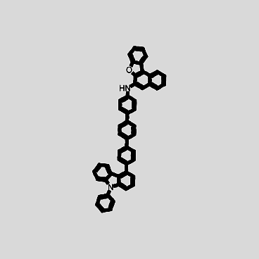 c1ccc(-n2c3ccccc3c3c(-c4ccc(-c5ccc(-c6ccc(Nc7cc8ccccc8c8c7oc7ccccc78)cc6)cc5)cc4)cccc32)cc1